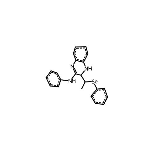 CC([Se]c1ccccc1)C1Nc2ccccc2N=C1Nc1ccccc1